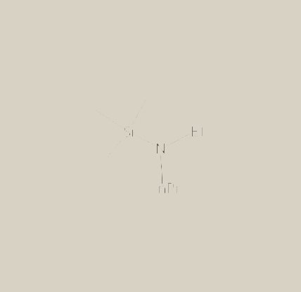 CCCN(CC)[Si](C)(C)C